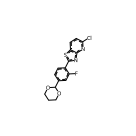 Fc1cc(C2OCCCO2)ccc1-c1nc2nc(Cl)ccc2s1